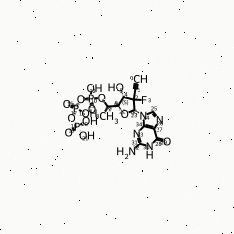 C#CC1(F)[C@@H](O)[C@@H]([C@@H](C)OP(=O)(O)OP(=O)(O)OP(=O)(O)O)O[C@H]1n1cnc2c(=O)[nH]c(N)nc21